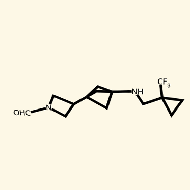 O=CN1CC(C23CC(NCC4(C(F)(F)F)CC4)(C2)C3)C1